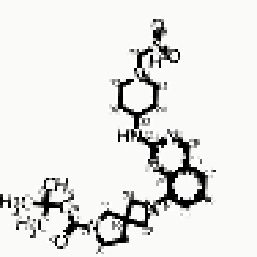 CC(C)(C)OC(=O)N1CCC2(C1)CN(c1cccc3cnc(NC4CCN(C[SH](=O)=O)CC4)nc13)C2